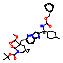 COC(=O)C1(Cc2ccc3nc([C@@H](NC(=O)OCc4ccccc4)C4CCC(C)CC4)cn3n2)CC2(CC2)CN(C(=O)OC(C)(C)C)C1=O